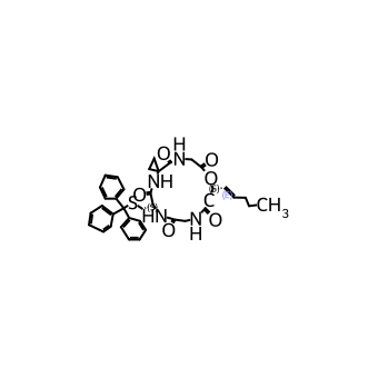 CCC/C=C/[C@@H]1CC(=O)NCC(=O)N[C@H](CSC(c2ccccc2)(c2ccccc2)c2ccccc2)C(=O)NC2(CC2)C(=O)NCC(=O)O1